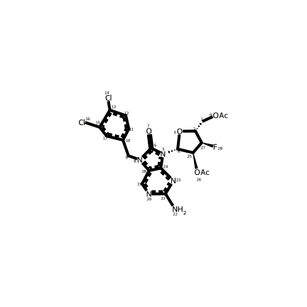 CC(=O)OC[C@H]1O[C@@H](n2c(=O)n(Cc3ccc(Cl)c(Cl)c3)c3cnc(N)nc32)[C@H](OC(C)=O)[C@@H]1F